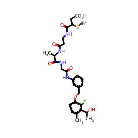 Cc1ccc(OCc2cccc(NC(=O)CNC(=O)C(C)NC(=O)CCNC(=O)C(CC(=O)O)SC(C)C)c2)c(F)c1C(C)O